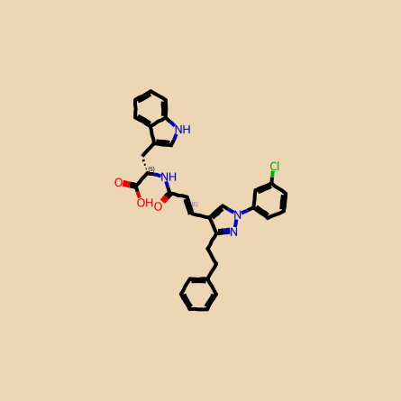 O=C(/C=C/c1cn(-c2cccc(Cl)c2)nc1CCc1ccccc1)N[C@@H](Cc1c[nH]c2ccccc12)C(=O)O